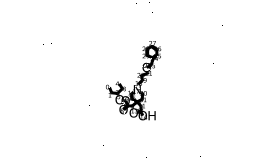 CCC(CC)OOC(=O)CC1(CC(=O)O)CCN(CCCCOCc2ccccc2)CC1